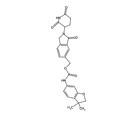 CC1(C)COc2cc(NC(=O)OCc3ccc4c(c3)C(=O)N(C3CCC(=O)NC3=O)C4)ccc21